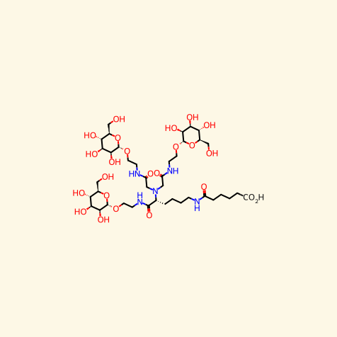 O=C(O)CCCCC(=O)NCCCC[C@H](C(=O)NCCO[C@H]1O[C@H](CO)[C@@H](O)[C@H](O)[C@@H]1O)N(CC(=O)NCCO[C@H]1O[C@H](CO)[C@@H](O)[C@H](O)[C@@H]1O)CC(=O)NCCO[C@H]1O[C@H](CO)[C@@H](O)[C@H](O)[C@@H]1O